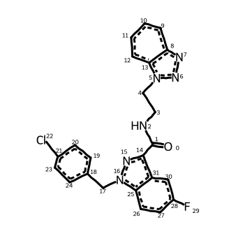 O=C(NCCn1nnc2ccccc21)c1nn(Cc2ccc(Cl)cc2)c2ccc(F)cc12